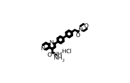 Cl.NNC(=O)c1cc(-c2ccc(-c3ccc(CC(=O)N4CCOCC4)cc3)cc2)nc2ccncc12